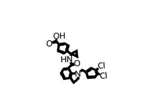 O=C(O)c1ccc(C2(NC(=O)c3cccc4c3N(Cc3ccc(Cl)c(Cl)c3)CC4)CC2)cc1